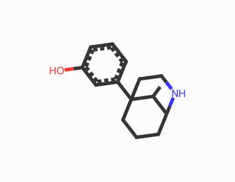 CC1C2CCCC1(c1cccc(O)c1)CCN2